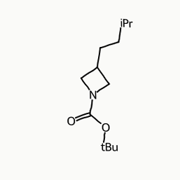 CC(C)CCC1CN(C(=O)OC(C)(C)C)C1